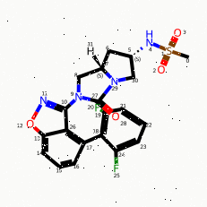 CS(=O)(=O)N[C@H]1C[C@H]2CN(c3noc4cccc(-c5c(F)cccc5F)c34)C(=O)N2C1